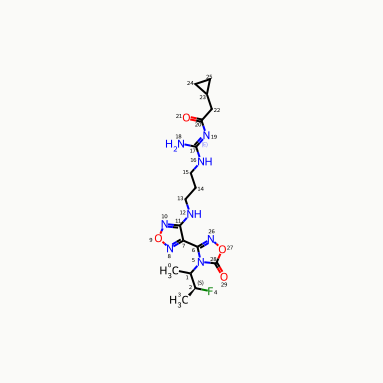 CC([C@H](C)F)n1c(-c2nonc2NCCCN/C(N)=N/C(=O)CC2CC2)noc1=O